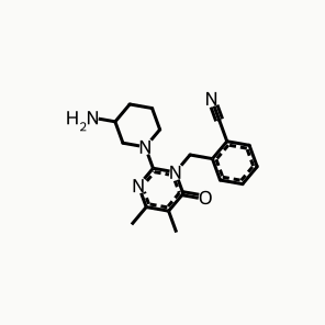 Cc1nc(N2CCCC(N)C2)n(Cc2ccccc2C#N)c(=O)c1C